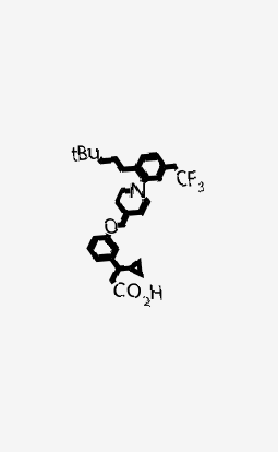 CC(C)(C)CCCc1ccc(CC(F)(F)F)cc1N1CCC(COc2cccc(C(CC(=O)O)C3CC3)c2)CC1